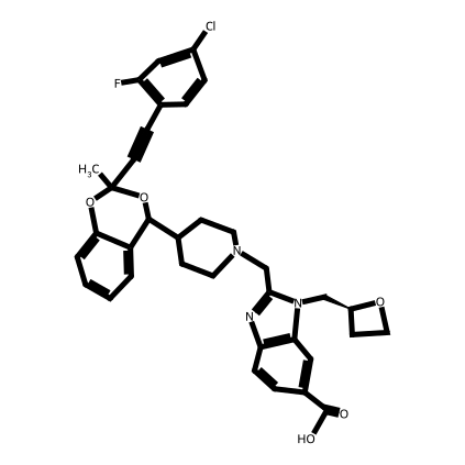 CC1(C#Cc2ccc(Cl)cc2F)Oc2ccccc2C(C2CCN(Cc3nc4ccc(C(=O)O)cc4n3C[C@@H]3CCO3)CC2)O1